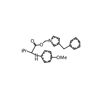 COc1ccc(NC(C(=O)OCn2ccc(Cc3ccccc3)c2)C(C)C)cc1